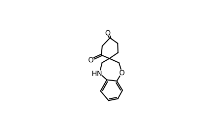 O=C1CCC2(CNc3ccccc3OC2)C(=O)C1